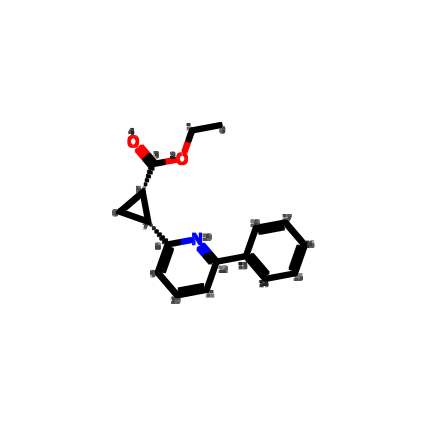 CCOC(=O)[C@H]1C[C@H]1c1cccc(-c2ccccc2)n1